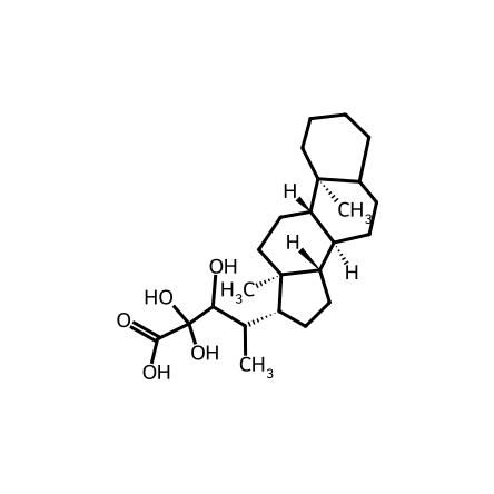 CC(C(O)C(O)(O)C(=O)O)[C@H]1CC[C@H]2[C@@H]3CCC4CCCC[C@]4(C)[C@H]3CC[C@]12C